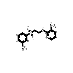 O=[N+]([O-])c1cccnc1SCCS(=O)(=O)c1cccc(C(F)(F)F)c1